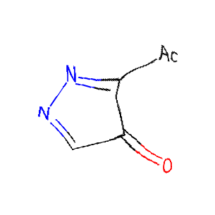 CC(=O)C1=NN=CC1=O